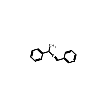 CC(B=Cc1ccccc1)c1ccccc1